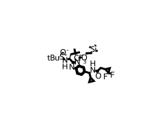 CC(C)(C)[S@@+]([O-])N[C@@H](CC(C)(C)C(F)(F)F)c1nc2ccc([C@H](NC(=O)CC3CC3(F)F)C3CC3)cc2n1COCC[Si](C)(C)C